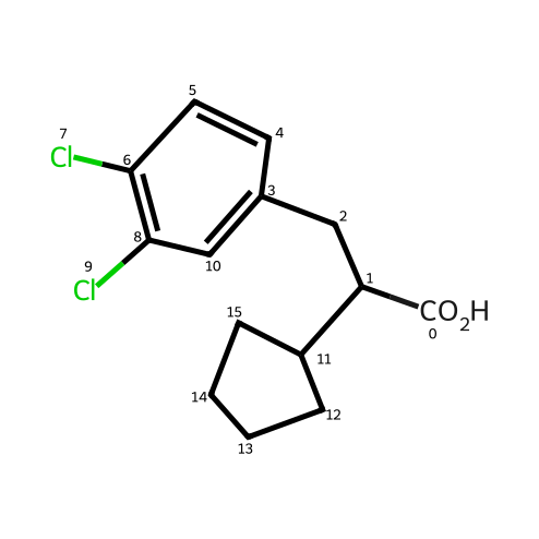 O=C(O)C(Cc1ccc(Cl)c(Cl)c1)C1CCCC1